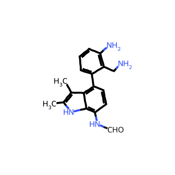 Cc1[nH]c2c(NC=O)ccc(-c3cccc(N)c3CN)c2c1C